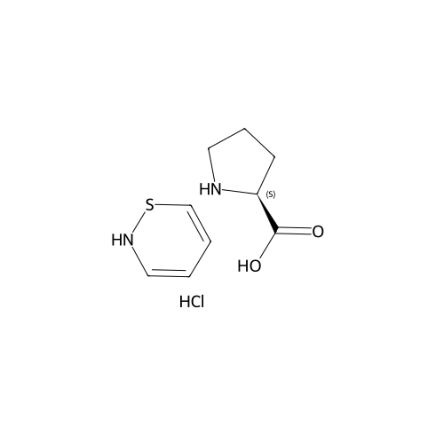 C1=CNSC=C1.Cl.O=C(O)[C@@H]1CCCN1